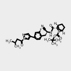 CC(C)CC(=O)n1cc(-c2ccc(C[C@@H](C#N)NC(=O)[C@@H]3[C@H]4CC[C@H](C4)N3C(=O)OC(C)(C)C)c(F)c2)cn1